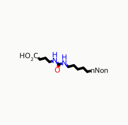 CCCCCCCCCCCCCCNC(=O)NCCCC(=O)O